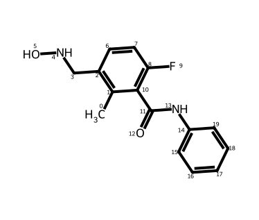 Cc1c(CNO)ccc(F)c1C(=O)Nc1ccccc1